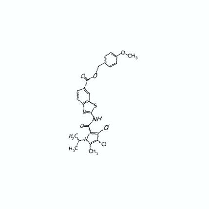 COc1ccc(COC(=O)c2ccc3nc(NC(=O)c4c(Cl)c(Cl)c(C)n4C(C)C)sc3c2)cc1